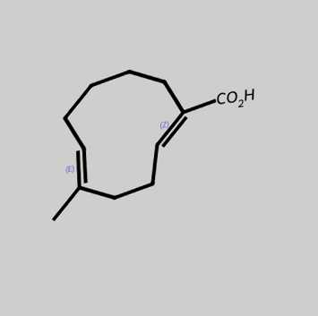 C/C1=C\CCCC/C(C(=O)O)=C/CC1